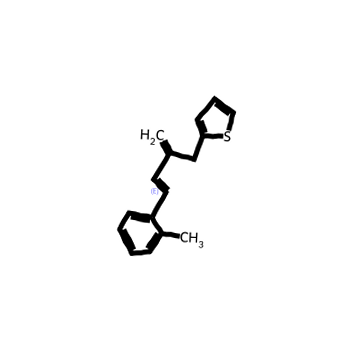 C=C(/C=C/c1ccccc1C)Cc1cccs1